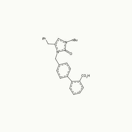 CCCCn1cc(CC(C)C)n(Cc2ccc(-c3ccccc3C(=O)O)cc2)c1=O